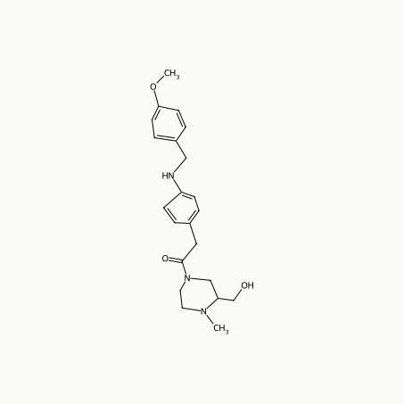 COc1ccc(CNc2ccc(CC(=O)N3CCN(C)C(CO)C3)cc2)cc1